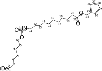 CCCCCCCCCCCCCCCCOC(=O)NCCCCCCCCCCC(=O)OCc1ccccc1